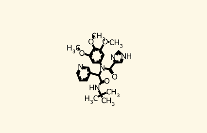 COc1cc(N(C(=O)c2c[nH]cn2)C(C(=O)NC(C)(C)C)c2cccnc2)cc(OC)c1OC